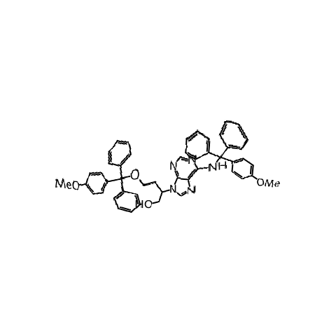 COc1ccc(C(Nc2ncnc3c2ncn3C(CO)CCOC(c2ccccc2)(c2ccccc2)c2ccc(OC)cc2)(c2ccccc2)c2ccccc2)cc1